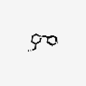 OCC1CCCN(Cc2ccncc2)C1